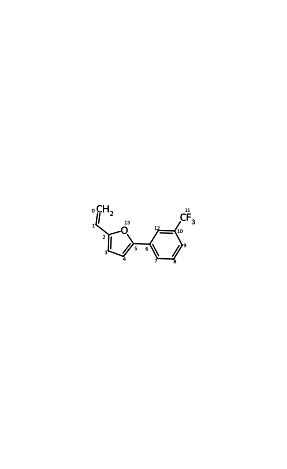 C=Cc1ccc(-c2cccc(C(F)(F)F)c2)o1